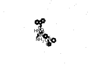 NCCC[C@H](NC(=O)OCC1c2ccccc2-c2ccccc21)C(=O)Nc1ccc(CN(C(=O)c2ccco2)C2CCCCC2)cc1